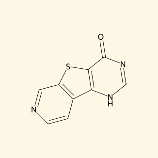 O=c1nc[nH]c2c1sc1cnccc12